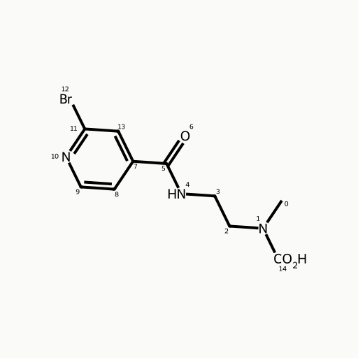 CN(CCNC(=O)c1ccnc(Br)c1)C(=O)O